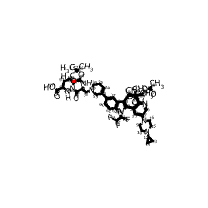 CO[C@@H](C)c1ncc(N2CCN(C3CC3)CC2)cc1-c1c(CC(C)(C)COC(C)=O)c2cc(C3=CCCN(CC(NC(=O)OC(C)(C)C)C(=O)N4CCCC(C(=O)O)N4)C3)ccc2n1C(F)C(F)F